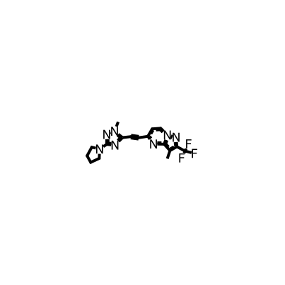 Cc1c(C(F)(F)F)nn2ccc(C#Cc3nc(N4CCCC4)nn3C)nc12